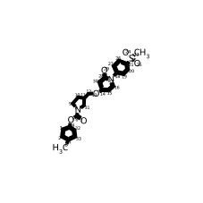 Cc1ccc(OC(=O)N2CCC(COc3ccn(-c4ccc(S(C)(=O)=O)cc4)c(=O)c3)C2)cc1